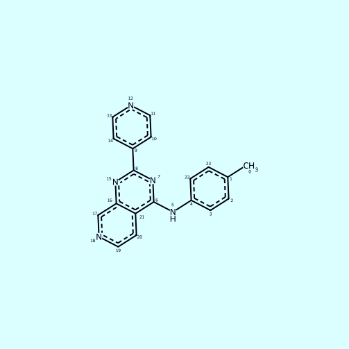 Cc1ccc(Nc2nc(-c3ccncc3)nc3cnccc23)cc1